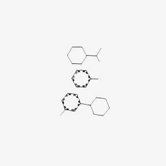 CC(=O)c1cccc(C2CCCCC2)c1.CC(=O)c1ccccc1.CC(C(=O)O)C1CCCCC1